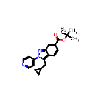 CC(C)(C)OC(=O)c1ccc2c(CC3CC3)n(-c3ccncc3)nc2c1